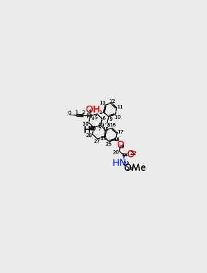 CC#C[C@@]1(O)CC[C@@]2(Cc3ccccc3)c3ccc(OCC(=O)NOC)cc3CC[C@@H]2C1